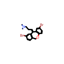 CN(C)CC/C=C1\c2cc(Br)ccc2COc2ccc(Br)cc21